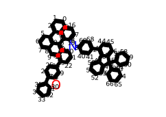 c1ccc(-c2cccc3cccc(-c4ccccc4N(c4ccc(-c5ccc6c(c5)oc5ccccc56)cc4)c4ccc(-c5cccc6c5-c5ccccc5C6(c5ccccc5)c5ccccc5)cc4)c23)cc1